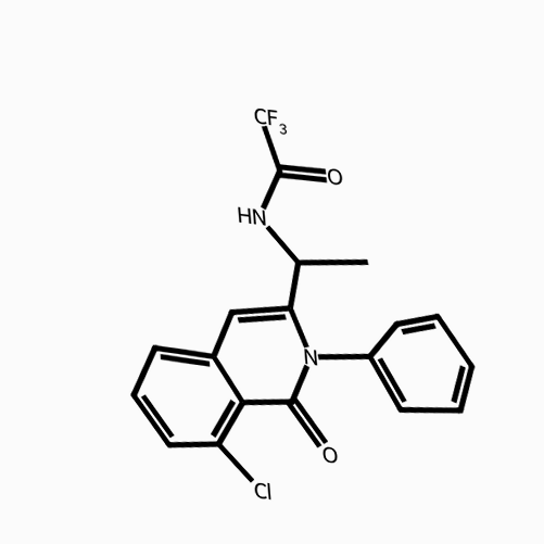 CC(NC(=O)C(F)(F)F)c1cc2cccc(Cl)c2c(=O)n1-c1ccccc1